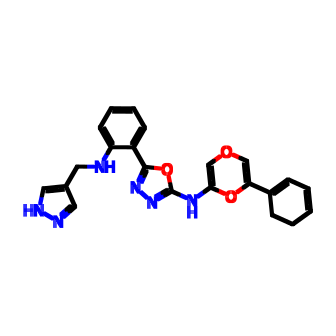 C1=CCCC(C2=COC=C(Nc3nnc(-c4ccccc4NCc4cn[nH]c4)o3)O2)=C1